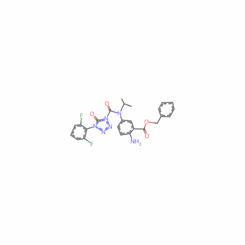 CC(C)N(C(=O)n1nnn(-c2c(F)cccc2F)c1=O)c1ccc(N)c(C(=O)OCc2ccccc2)c1